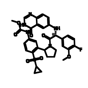 COC(=O)Nc1ccc(S(=O)(=O)C2CC2)c(C2CCCN2C(=O)[C@H](Nc2ccc3nc[nH]c(=O)c3c2)c2ccc(F)c(OC)c2)c1